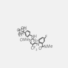 CCC(CC)(c1ccc(Nc2ncc(C(F)(F)F)c(Nc3ccc(F)cc3C(=O)NC)n2)c(OC)c1)P(=O)(O)O